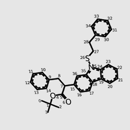 CC(C)(C)OC(=O)C(Cc1ccccc1)c1ccc2c3ccccc3n(SCCc3ccccc3)c2c1